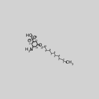 CCCCCCCCCCCCOc1cc(N)cc(S(=O)(=O)O)c1